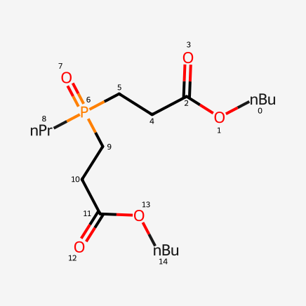 CCCCOC(=O)CCP(=O)(CCC)CCC(=O)OCCCC